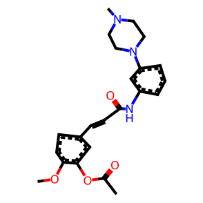 COc1ccc(C=CC(=O)Nc2cccc(N3CCN(C)CC3)c2)cc1OC(C)=O